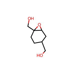 OCC1CCC2(CO)OC2C1